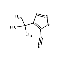 CC(C)(C)C1=C(C#N)[N]N=C1